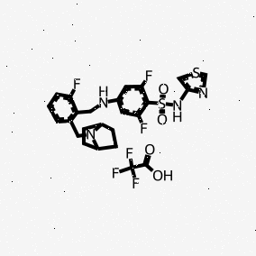 O=C(O)C(F)(F)F.O=S(=O)(Nc1cscn1)c1c(F)cc(NCc2c(F)cccc2CN2C3CCC2CC3)cc1F